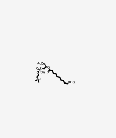 CCCCCCCC/C=C\CCCCCCCC(=O)O[C@H](COC(C)=O)COP(=O)(O)OCC[N+](C)(C)C